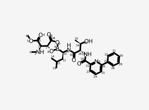 CN[C@@H](C(=O)OC)[C@H]1OB([C@H](CC(C)C)NC(=O)[C@@H](NC(=O)c2cccc(-c3ccccc3)n2)[C@@H](C)O)OC1=O